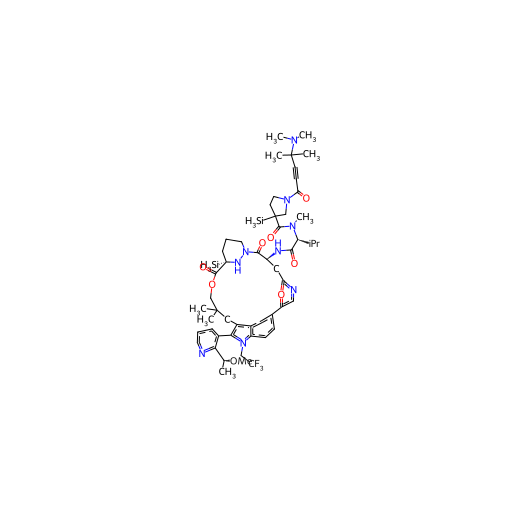 CO[C@@H](C)c1ncccc1-c1c2c3cc(ccc3n1CC(F)(F)F)-c1cnc(o1)C[C@H](NC(=O)[C@H](C(C)C)N(C)C(=O)C1([SiH3])CCN(C(=O)C#CC(C)(C)N(C)C)C1)C(=O)N1CCC[C@@]([SiH3])(N1)C(=O)OCC(C)(C)C2